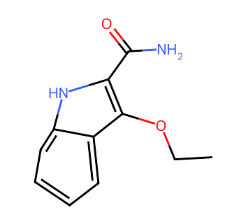 CCOc1c(C(N)=O)[nH]c2ccccc12